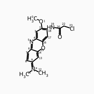 COc1cc2nc3ccc(=[N+](C)C)cc-3oc2cc1NC(=O)CCl